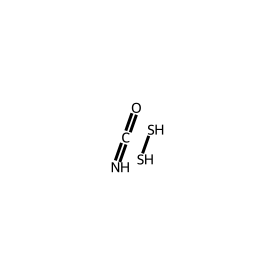 N=C=O.SS